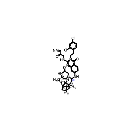 CNC(=O)CNc1nc2cc(N/C(=N/C3C[C@@H]4C[C@H]([C@@H]3C)C4(C)C)N3CC(=O)N[C@@H](C)C3)ccc2c(=O)n1CCc1ccc(Cl)cc1Cl